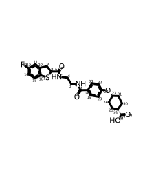 O=C(NCCNC(=O)C1Cc2cc(F)ccc2S1)c1ccc(O[C@H]2CC[C@@H](C(=O)O)CC2)cc1